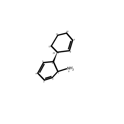 NC1C=CC=CC1[C@@H]1C=CCCC1